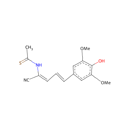 COc1cc(C=CC=C(C#N)NC(C)=S)cc(OC)c1O